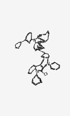 O=c1c2c(c3ccccc3n1-c1ccccc1)c1cc(-c3ccc4c(c3)c3ccccc3n4-c3cccc(-c4ccccc4)c3)ccc1n2-c1ccccc1